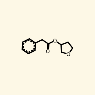 O=C(Cc1ccccc1)OC1CCOC1